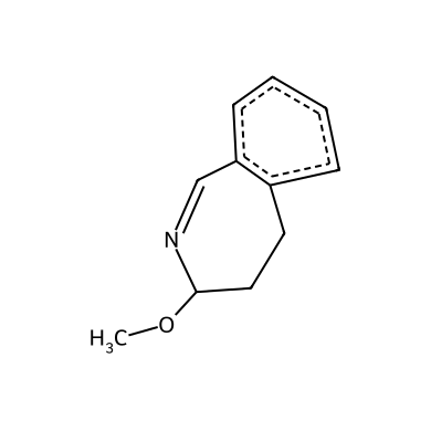 COC1CCc2ccccc2C=N1